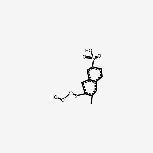 Cc1cc2ccc(S(=O)(=O)O)cc2cc1SOOO